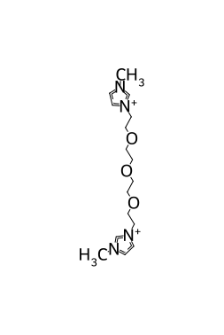 Cn1cc[n+](CCOCCOCCOCC[n+]2ccn(C)c2)c1